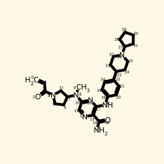 C=CC(=O)N1CCC(N(C)c2cnc(C(N)=O)c(Nc3ccc(C4CCN(C5CCCC5)CC4)cc3)n2)C1